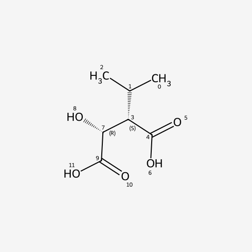 CC(C)[C@H](C(=O)O)[C@@H](O)C(=O)O